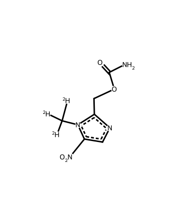 [2H]C([2H])([2H])n1c([N+](=O)[O-])cnc1COC(N)=O